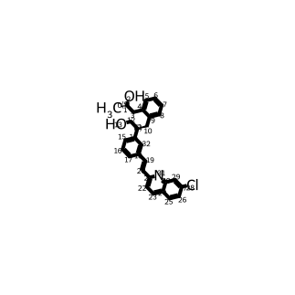 C[C@H](O)Cc1ccccc1C[C@H](CO)c1cccc(C=Cc2ccc3ccc(Cl)cc3n2)c1